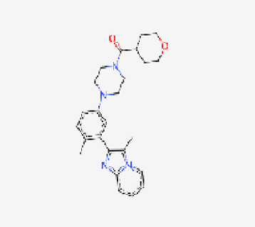 Cc1ccc(N2CCN(C(=O)C3CCOCC3)CC2)cc1-c1nc2ccccn2c1C